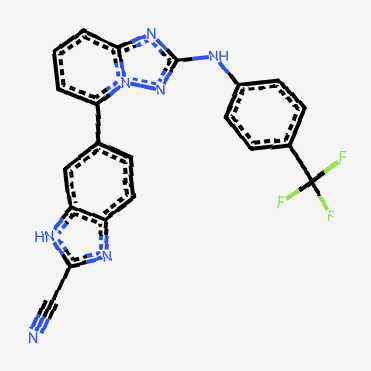 N#Cc1nc2ccc(-c3cccc4nc(Nc5ccc(C(F)(F)F)cc5)nn34)cc2[nH]1